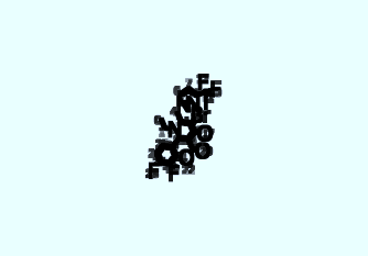 CCn1c(Cn2ccc(C(F)(F)F)n2)c(Br)c(=O)c(C(=O)OC)c1-c1ccc(F)c(F)c1